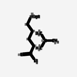 CN(C)C.[CH2]CC(=O)CCCCCCCCCCC